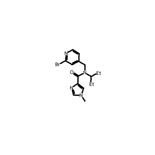 CCC(CC)N(Cc1ccnc(Br)c1)C(=O)c1cn(C)cn1